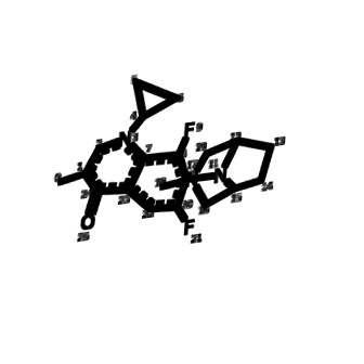 Cc1cn(C2CC2)c2c(F)c(N3C4CCC3CN(C)C4)c(F)cc2c1=O